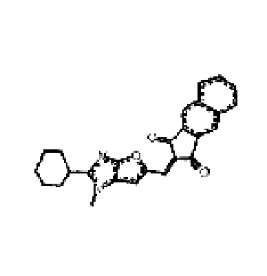 Cn1c(C2CCCCC2)nc2oc(C=C3C(=O)c4cc5ccccc5cc4C3=O)cc21